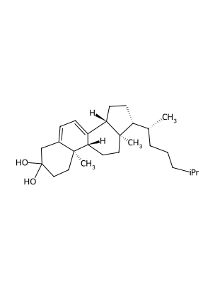 CC(C)CCC[C@@H](C)[C@H]1CC[C@H]2C3=CC=C4CC(O)(O)CC[C@]4(C)[C@H]3CC[C@]12C